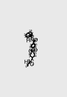 C=CC(=O)NCC1CCN(S(=O)(=O)c2ccc(C(=O)NCC34CC5CC(CC(C5)C3)C4)cc2)CC1